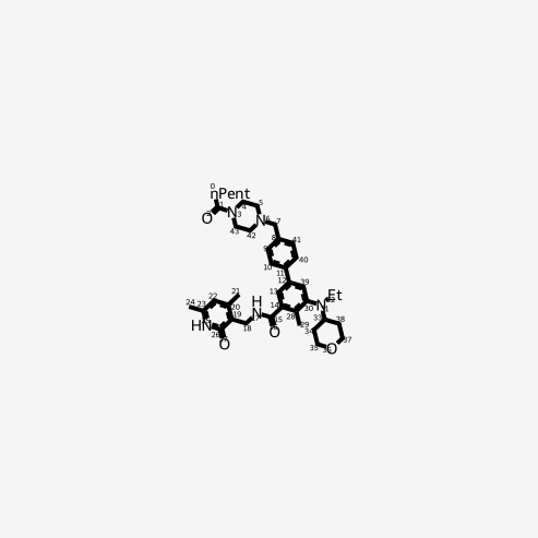 CCCCCC(=O)N1CCN(Cc2ccc(-c3cc(C(=O)NCc4c(C)cc(C)[nH]c4=O)c(C)c(N(CC)C4CCOCC4)c3)cc2)CC1